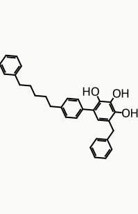 Oc1c(Cc2ccccc2)cc(-c2ccc(CCCCCc3ccccc3)cc2)c(O)c1O